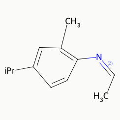 C/C=N\c1ccc(C(C)C)cc1C